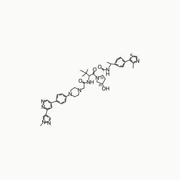 Cc1ncsc1-c1ccc(C(C)NC(=O)[C@@H]2C[C@@H](O)CN2C(=O)C(NC(=O)CN2CCN(c3ccc(-c4cnnc(-c5cnn(C)c5)c4)cc3)CC2)C(C)(C)C)cc1